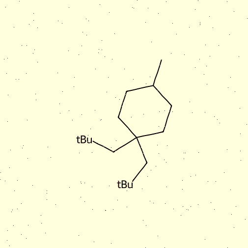 CC1CCC(CC(C)(C)C)(CC(C)(C)C)CC1